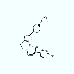 O=C(N[C@H]1c2cc(N3CCN(C4COC4)CC3)ccc2CC[C@@H]1O)c1ccc(F)cc1